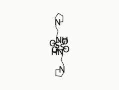 O=S(=O)(NCCCN1CCCC1)S(=O)(=O)NCCCN1CCCC1